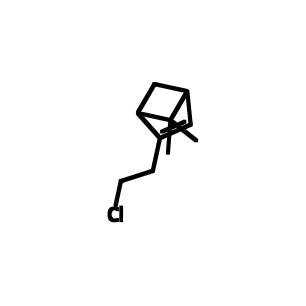 CC1(C)C2C=C(CCCl)C1C2